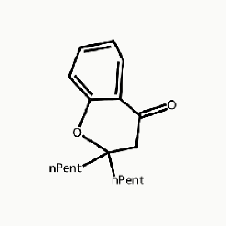 CCCCCC1(CCCCC)CC(=O)c2ccccc2O1